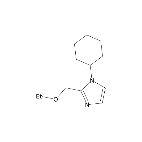 CCOCc1nccn1C1CCCCC1